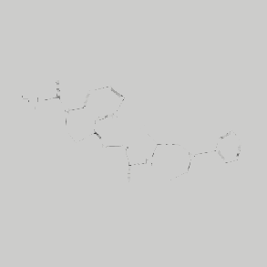 CC(=O)N1CC/C(=N/NC(=S)N2CCN(c3ccccc3)CC2C)c2ncccc21